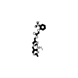 Cc1ncc(Cn2cc(COC(=O)COc3ccccc3[N+](=O)[O-])nn2)c(N)n1